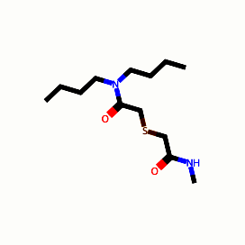 CCCCN(CCCC)C(=O)CSCC(=O)NC